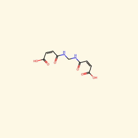 O=C(O)/C=C\C(=O)NCNC(=O)/C=C\C(=O)O